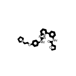 O=C(Nc1cccc(-c2cccc3nc(Nc4ccc(OCCN5CCCC5)cc4)nn23)c1)C1=CCCO1